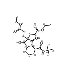 CCOC(=O)CCC1(CCC(=O)OCC)C(=O)N2CCCC(C(=O)OC(C)(C)C)N2C1=O